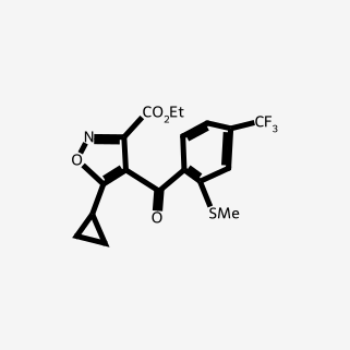 CCOC(=O)c1noc(C2CC2)c1C(=O)c1ccc(C(F)(F)F)cc1SC